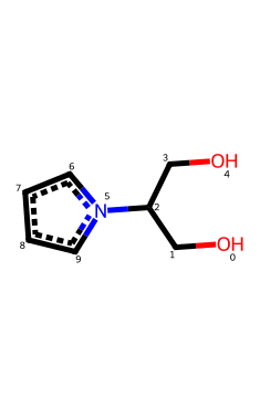 OCC(CO)n1cccc1